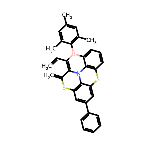 C=CC1=C2C(=C)Sc3cc(-c4ccccc4)cc4c3N2c2c(cccc2B1c1c(C)cc(C)cc1C)S4